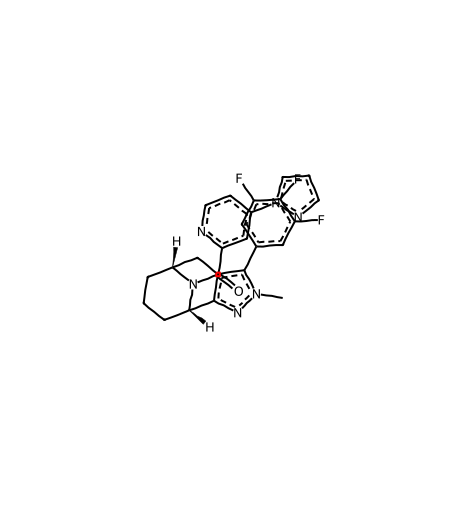 Cn1nc2c(c1-c1cc(F)c(F)c(F)c1)C[C@H]1CCC[C@@H]2N1C(=O)c1cc(-n2cccn2)ccn1